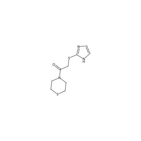 O=C(CSc1ncc[nH]1)N1CCSCC1